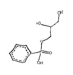 O=P(O)(OCC(O)CO)c1ccccc1